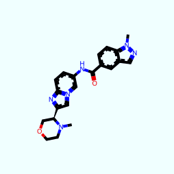 CN1CCOC[C@H]1c1cn2cc(NC(=O)c3ccc4c(cnn4C)c3)ccc2n1